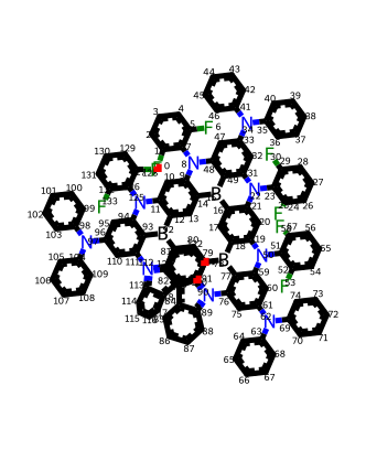 Fc1cccc(F)c1N1c2cc3c(cc2B2c4cc5c(cc4N(c4c(F)cccc4F)c4cc(N(c6ccccc6)c6ccccc6)cc1c42)N(c1c(F)cccc1F)c1cc(N(c2ccccc2)c2ccccc2)cc2c1B5c1cccc4c5ccccc5n-2c14)B1c2c(cc(N(c4ccccc4)c4ccccc4)cc2-n2c4ccccc4c4cccc1c42)N3c1c(F)cccc1F